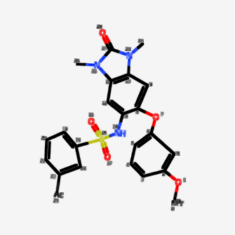 CCCOc1cccc(Oc2cc3c(cc2NS(=O)(=O)c2cccc(C(C)=O)c2)n(C)c(=O)n3C)c1